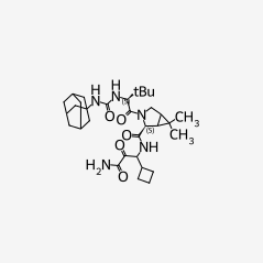 CC1(C)C2CN(C(=O)[C@@H](NC(=O)NC34CC5CC(CC(C5)C3)C4)C(C)(C)C)[C@H](C(=O)NC(C(=O)C(N)=O)C3CCC3)C21